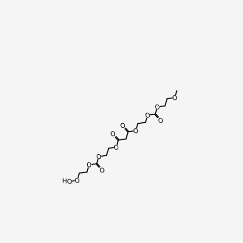 COCCOC(=O)OCCOC(=O)CC(=O)OCCOC(=O)OCCOO